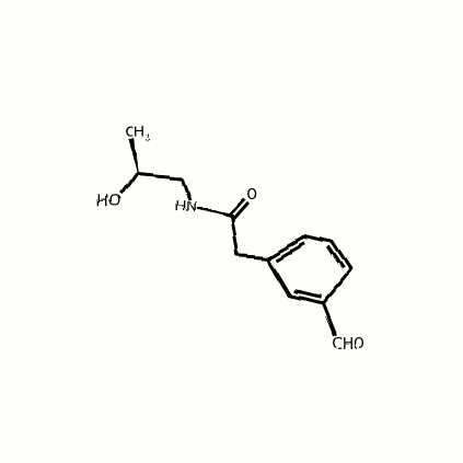 C[C@H](O)CNC(=O)Cc1cccc(C=O)c1